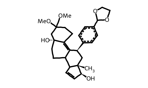 COC1(OC)CCC2=C3C(CC[C@@]2(O)C1)C1C=C[C@H](O)[C@@]1(C)C[C@@H]3c1ccc(C2OCCO2)cc1